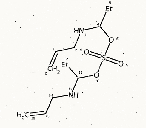 C=CCNC(CC)OS(=O)(=O)OC(CC)NCC=C